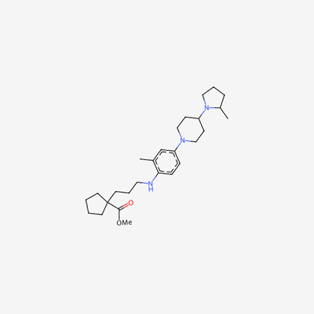 COC(=O)C1(CCCNc2ccc(N3CCC(N4CCCC4C)CC3)cc2C)CCCC1